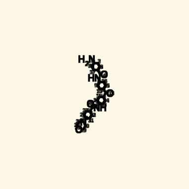 Nc1ccc(C(=O)Nc2ccc(C(=O)c3ccc(NC(=O)c4ccc(N5CCOCC5)cc4)cc3)cc2)cc1